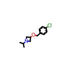 CC(C)N1CC(OCc2ccc(Cl)cc2)C1